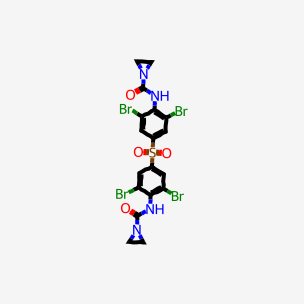 O=C(Nc1c(Br)cc(S(=O)(=O)c2cc(Br)c(NC(=O)N3CC3)c(Br)c2)cc1Br)N1CC1